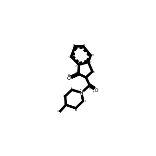 CC1CCN(C(=O)C2Cc3ccccc3C2=O)CC1